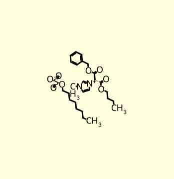 CCCCCCCCOS(=O)(=O)[O-].CCCCOC(=O)[C@@H](C(=O)OCc1ccccc1)[n+]1ccn(C)c1